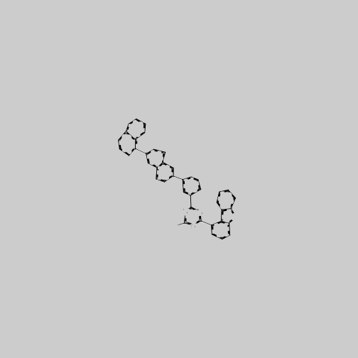 Clc1nc(-c2cccc(-c3ccc4cc(-c5cccc6ccccc56)ccc4c3)c2)nc(-c2cccc3oc4ccccc4c23)n1